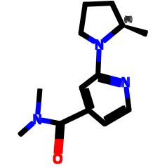 C[C@@H]1CCCN1c1cc(C(=O)N(C)C)ccn1